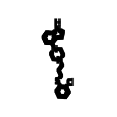 Clc1ccccc1SCCCN1CCN(c2cccc3[nH]ccc23)CC1